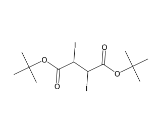 CC(C)(C)OC(=O)C(I)C(I)C(=O)OC(C)(C)C